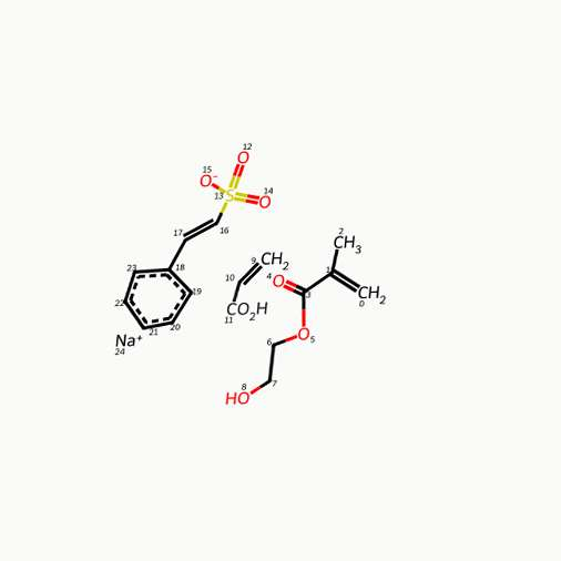 C=C(C)C(=O)OCCO.C=CC(=O)O.O=S(=O)([O-])C=Cc1ccccc1.[Na+]